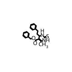 CC1=C(C(=O)OCc2ccccc2)C(CCc2ccccc2)NC(=S)N1